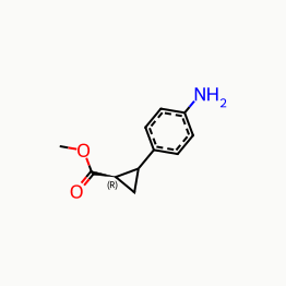 COC(=O)[C@@H]1CC1c1ccc(N)cc1